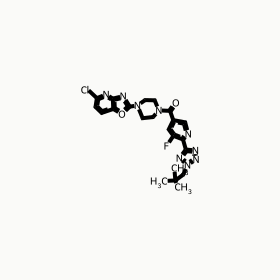 CC(C)(C)Cn1nnc(-c2ncc(C(=O)N3CCN(c4nc5nc(Cl)ccc5o4)CC3)cc2F)n1